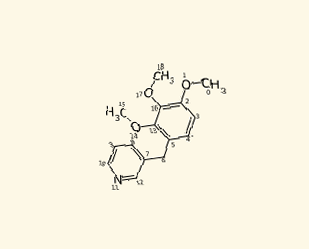 COc1c[c]c(Cc2cccnc2)c(OC)c1OC